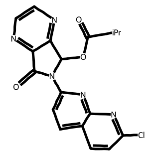 CC(C)C(=O)OC1c2nccnc2C(=O)N1c1ccc2ccc(Cl)nc2n1